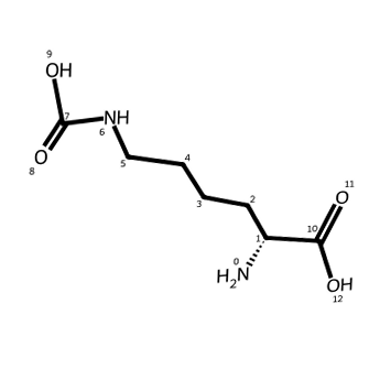 N[C@H](CCCCNC(=O)O)C(=O)O